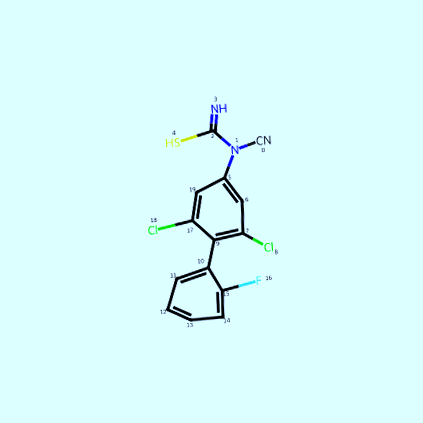 N#CN(C(=N)S)c1cc(Cl)c(-c2ccccc2F)c(Cl)c1